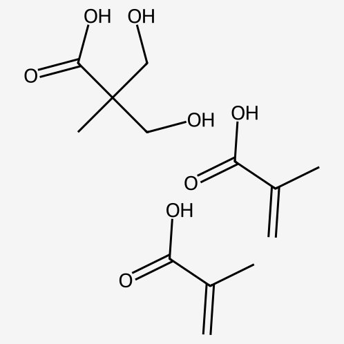 C=C(C)C(=O)O.C=C(C)C(=O)O.CC(CO)(CO)C(=O)O